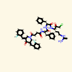 C=C(N)NCCC[C@H](NC(=O)[C@H](Cc1ccccc1)NC(=O)[C@@H](Cc1ccccc1)NC(=O)CCC(=O)N1C/C(=C\c2ccccc2F)C(=O)/C(=C/c2ccccc2F)C1)C(=O)CCl